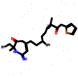 CCCC(CC/C=C(/C)C(=O)Cc1cccs1)CCC1=CC(=N)NC(C)(CC(C)C)C(=O)C1